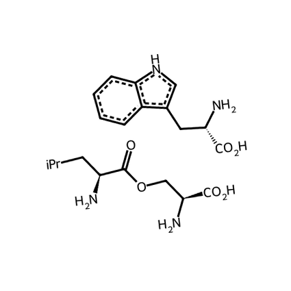 CC(C)C[C@H](N)C(=O)OC[C@H](N)C(=O)O.N[C@@H](Cc1c[nH]c2ccccc12)C(=O)O